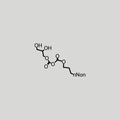 CCCCCCCCCCCCOC(=O)OC(=O)OCC(O)CO